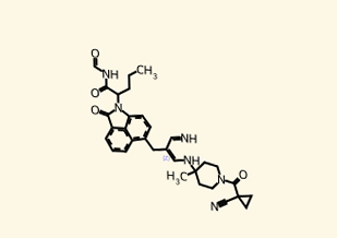 CCCC(C(=O)NC=O)N1C(=O)c2cccc3c(C/C(C=N)=C/NC4(C)CCN(C(=O)C5(C#N)CC5)CC4)ccc1c23